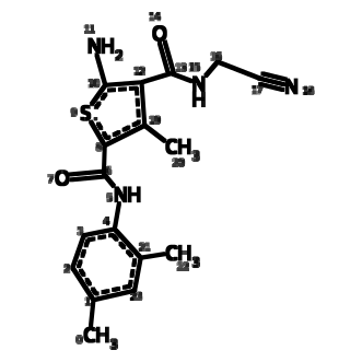 Cc1ccc(NC(=O)c2sc(N)c(C(=O)NCC#N)c2C)c(C)c1